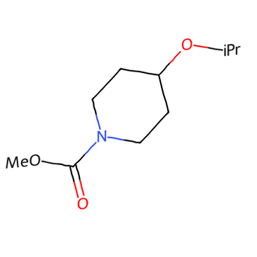 COC(=O)N1CCC(OC(C)C)CC1